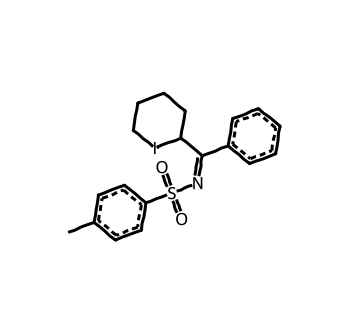 Cc1ccc(S(=O)(=O)N=C(c2ccccc2)C2CCCC[I]2)cc1